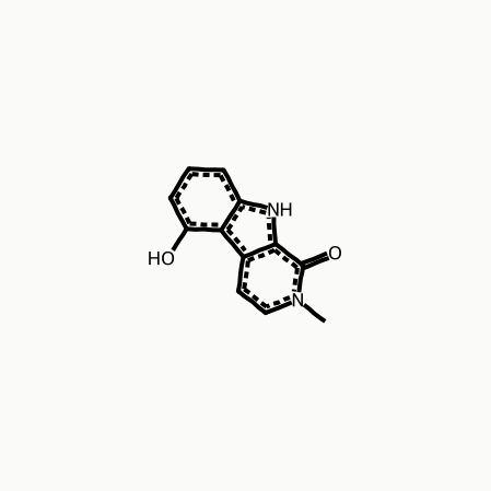 Cn1ccc2c([nH]c3cccc(O)c32)c1=O